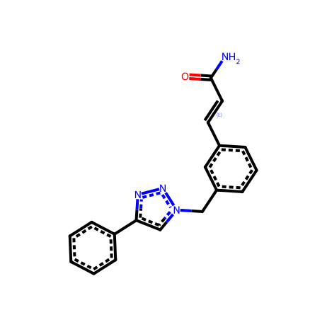 NC(=O)/C=C/c1cccc(Cn2cc(-c3ccccc3)nn2)c1